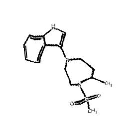 CC1CCN(c2c[nH]c3ccccc23)CCN1S(C)(=O)=O